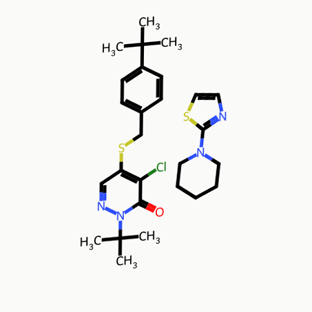 CC(C)(C)c1ccc(CSc2cnn(C(C)(C)C)c(=O)c2Cl)cc1.c1csc(N2CCCCC2)n1